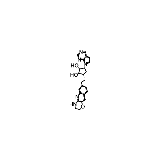 O[C@@H]1[C@@H](CCc2ccc3cc4c(nc3c2)NCCO4)C[C@@H](n2ccc3cncnc32)[C@@H]1O